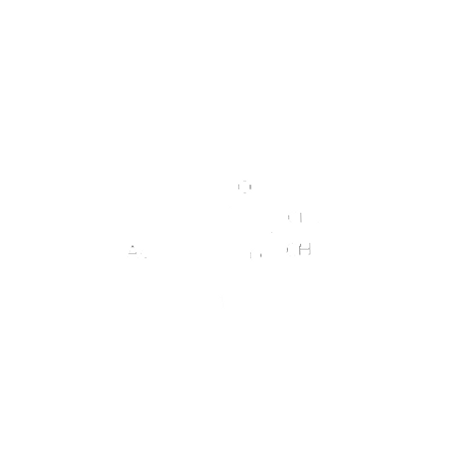 CC(=O)c1cc(I)c2c(c1)C1OC1C(C)(C)O2